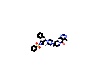 Cc1ncnc(C)c1C(=O)N1CCC(C)(N2CCN([C@@H](Cc3ccccc3)C3CN(S(=O)(=O)c4ccccc4)C3)[C@@H](C)C2)CC1